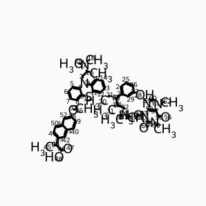 CC(CN1c2ccccc2Sc2ccccc21)N(C)C.CC[C@@H](c1cccc(O)c1)[C@@H](C)CN(C)C.COc1ccc2cc([C@H](C)C(=O)O)ccc2c1.Cn1c(=O)c2c(ncn2C)n(C)c1=O